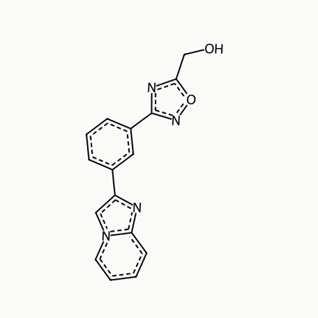 OCc1nc(-c2cccc(-c3cn4ccccc4n3)c2)no1